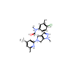 Cc1cc(C(F)(F)F)cc(N2Cc3c(cnn3C)[C@H]2C(=O)N(C)c2ccc(Cl)c(C)c2)n1